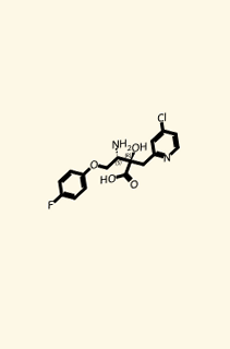 N[C@@H](COc1ccc(F)cc1)[C@](O)(Cc1cc(Cl)ccn1)C(=O)O